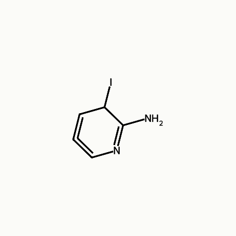 NC1=NC=C=CC1I